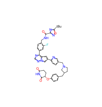 CC(C)(C)c1nc(C(=O)NCc2ccc(-c3ncnn4cc(-c5ccc(CN6CCC(Cc7ccc(OC8CCC(=O)NC8=O)cc7)C6)cn5)cc34)cc2F)no1